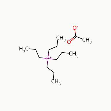 CC(=O)[O-].CCC[P+](CCC)(CCC)CCC